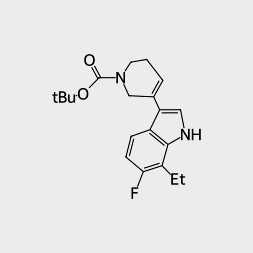 CCc1c(F)ccc2c(C3=CCCN(C(=O)OC(C)(C)C)C3)c[nH]c12